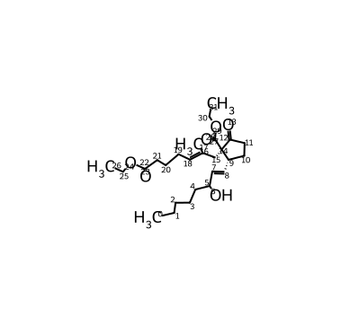 CCCCCC(O)C=C[C@H]1CCC(=O)[C@]1(CC(C)=CCCCC(=O)OCC)C(=O)OCC